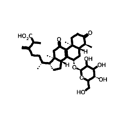 C=C(CC[C@@H](C)[C@H]1CC[C@H]2C3=C(C(=O)C[C@]12C)[C@@]1(C)CCC(=O)[C@@H](C)[C@@H]1C[C@@H]3O[C@@H]1OC(CO)[C@@H](O)C(O)C1O)C(C)C(=O)O